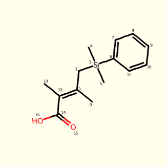 C/C(C[Si](C)(C)c1ccccc1)=C(/C)C(=O)O